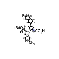 CC(C)(C)OC(=O)N[C@@H](Cc1ccc(C(F)(F)F)nc1)Cn1nc(-c2ccc3cnc(F)cc3c2)s/c1=N\C(=O)O